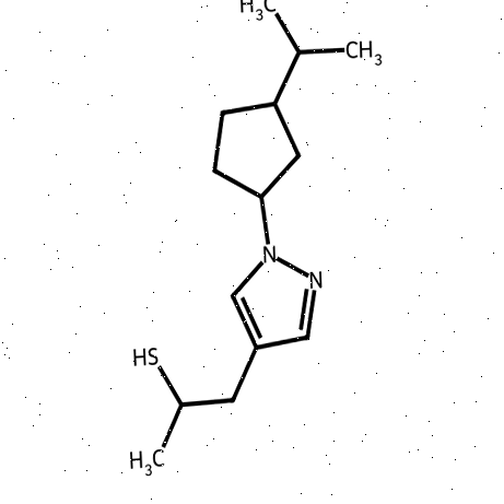 CC(S)Cc1cnn(C2CCC(C(C)C)C2)c1